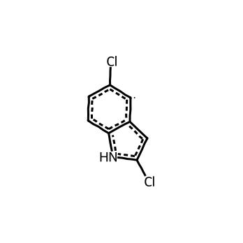 Clc1[c]c2cc(Cl)[nH]c2cc1